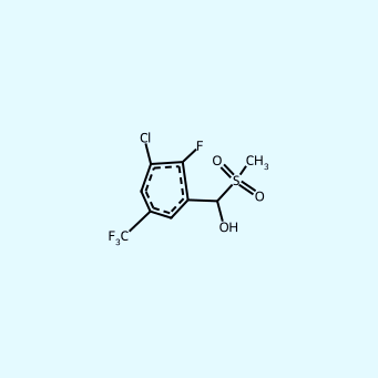 CS(=O)(=O)C(O)c1cc(C(F)(F)F)cc(Cl)c1F